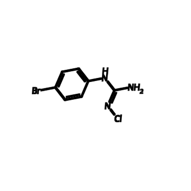 NC(=NCl)Nc1ccc(Br)cc1